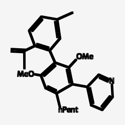 C=C(C)c1ccc(C)cc1-c1c(OC)cc(CCCCC)c(-c2cccnc2)c1OC